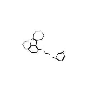 Clc1cccc(OCCOc2ccc3c4c2c2c(n4CCC3)CCNCC2)c1